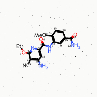 CCOc1nc(C(=O)Nc2cc(C(N)=O)ccc2OC)cc(N)c1C#N